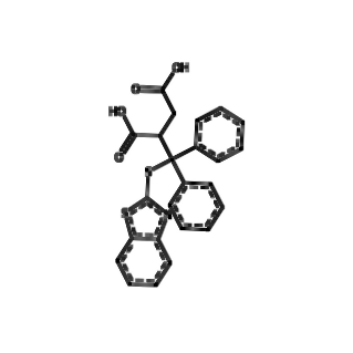 O=C(O)CC(C(=O)O)C(Sc1nc2ccccc2s1)(c1ccccc1)c1ccccc1